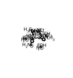 CCn1nc(C)cc1C(=O)Nc1nc2cc(C(N)=O)ccc2n1CCCCn1c(NC(=O)c2cc(C)nn2CC)nc2c(N(C)S(C)(=O)=O)cccc21.O=C(O)C(F)(F)F.O=C(O)C(F)(F)F